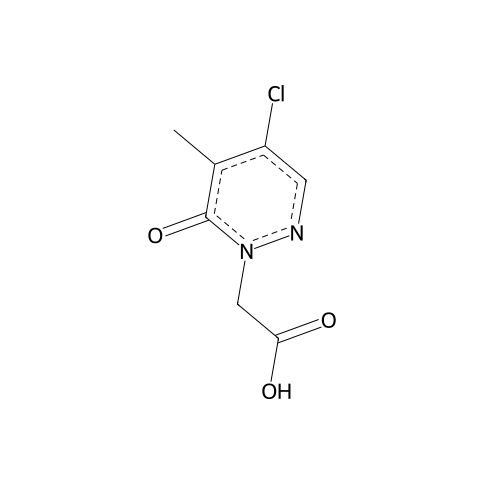 Cc1c(Cl)cnn(CC(=O)O)c1=O